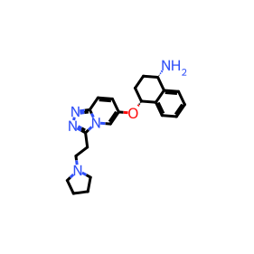 N[C@H]1CC[C@@H](Oc2ccc3nnc(CCN4CCCC4)n3c2)c2ccccc21